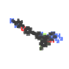 N#Cc1ccc(COc2ccc(C#Cc3ccc(C(F)(F)C(O)(CN(N)/C=N\N)c4ccc(F)cc4F)nc3)cc2)cn1